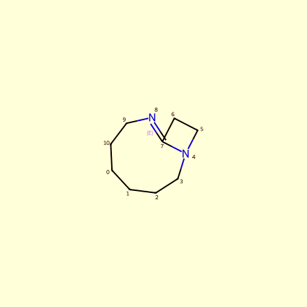 C1CCCN2CC/C2=N\CC1